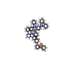 c1ccc(-c2cccc(-c3ccccc3)c2N2c3cc(-c4ccc(-c5cccc6c5oc5ccccc56)cc4)ccc3B3c4ccc(-n5c6ccccc6c6ccccc65)cc4N(c4ccccc4)c4cccc2c43)cc1